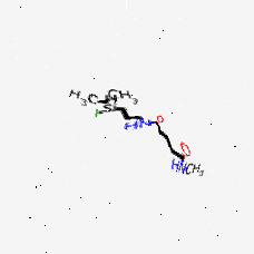 CNC(=O)CCCC(=O)NCCC[SiH](F)C(C)C